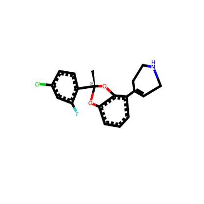 C[C@]1(c2ccc(Cl)cc2F)Oc2cccc(C3=CCNCC3)c2O1